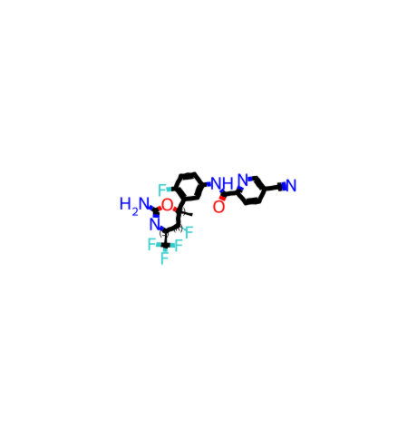 C[C@]1(c2cc(NC(=O)c3ccc(C#N)cn3)ccc2F)OC(N)=N[C@H](C(F)(F)F)[C@H]1F